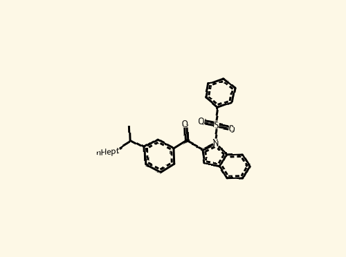 CCCCCCCC(C)c1cccc(C(=O)c2cc3ccccc3n2S(=O)(=O)c2ccccc2)c1